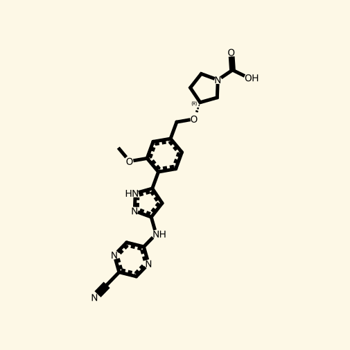 COc1cc(CO[C@@H]2CCN(C(=O)O)C2)ccc1-c1cc(Nc2cnc(C#N)cn2)n[nH]1